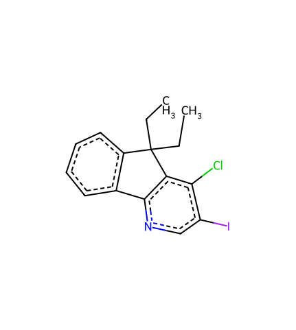 CCC1(CC)c2ccccc2-c2ncc(I)c(Cl)c21